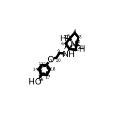 CC(=O)N1[C@@H]2CC[C@H]1C[C@H](NCCOc1ccc(O)cc1)C2